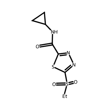 CCS(=O)(=O)c1nnc(C(=O)NC2CC2)s1